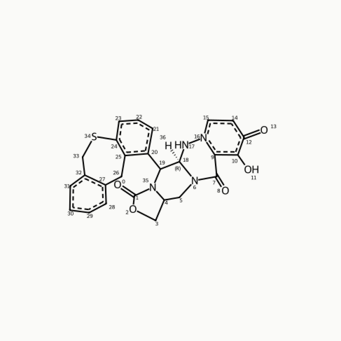 O=C1OCC2CN3C(=O)c4c(O)c(=O)ccn4N[C@@H]3C(c3cccc4c3Cc3ccccc3CS4)N12